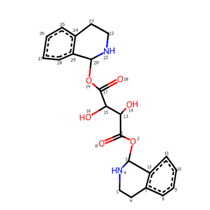 O=C(OC1NCCc2ccccc21)C(O)C(O)C(=O)OC1NCCc2ccccc21